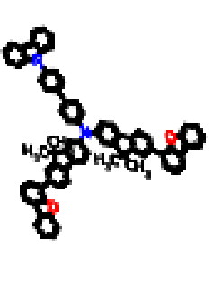 CC1(C)c2cc(-c3cccc4c3oc3ccccc34)ccc2-c2ccc(N(c3ccc(-c4ccc(-n5c6ccccc6c6ccccc65)cc4)cc3)c3ccc4c(c3)C(C)(C)c3cc(-c5cccc6c5oc5ccccc56)ccc3-4)cc21